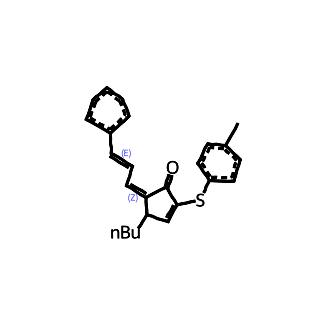 CCCCC1C=C(Sc2ccc(C)cc2)C(=O)/C1=C\C=C\c1ccccc1